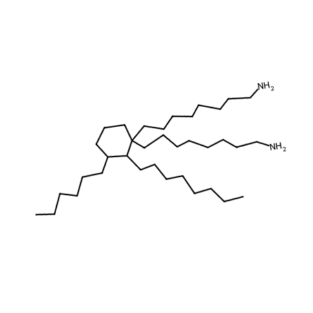 CCCCCCCCC1C(CCCCCC)CCCC1(CCCCCCCCN)CCCCCCCCN